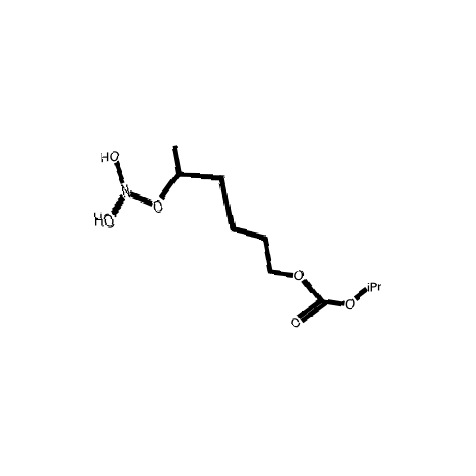 CC(C)OC(=O)OCCCCC(C)ON(O)O